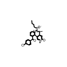 CCCC[S@+]([O-])N[C@@H](C)c1cc(=O)n(C)cc1-c1ccccc1C(=O)c1ccc(Cl)cc1